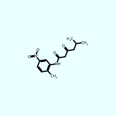 Cc1ccc([N+](=O)[O-])cc1NC(=O)CC(=O)CC(C)C